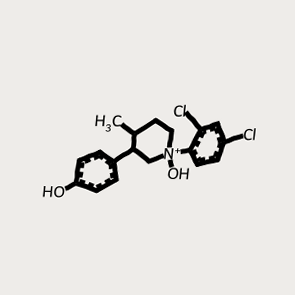 CC1CC[N+](O)(c2ccc(Cl)cc2Cl)CC1c1ccc(O)cc1